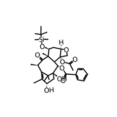 CC(=O)O[C@@]12CO[C@@H]1C[C@H](O[Si](C)(C)C(C)(C)C)[C@@]1(C)C(=O)[C@H](C)C3=C(C)[C@@H](O)C[C@@](O)([C@@H](OC(=O)c4ccccc4)C12)C3(C)C